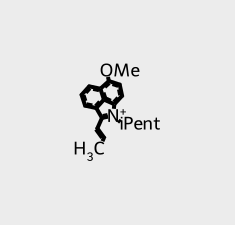 C/C=C/C1=[N+](C(C)CCC)c2ccc(OC)c3cccc1c23